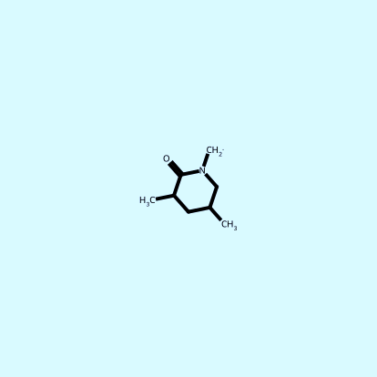 [CH2]N1CC(C)CC(C)C1=O